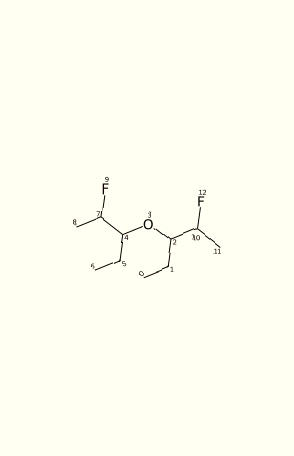 CCC(OC(CC)C(C)F)C(C)F